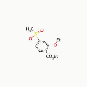 CCOC(=O)c1ccc(S(C)(=O)=O)cc1OCC